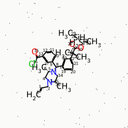 C=CCN1C[C@H](C)N([C@@H](c2cccc(C(=O)Cl)c2)c2cccc(C(C)(C)C(O[SiH2]C)O[SiH2]C)c2)C[C@H]1C